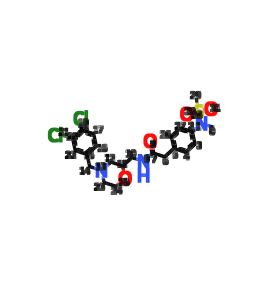 CN(c1ccc(CC(=O)NCC2CN(Cc3ccc(Cl)c(Cl)c3)CCO2)cc1)S(C)(=O)=O